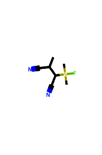 CC(C#N)C(C#N)S(C)(C)F